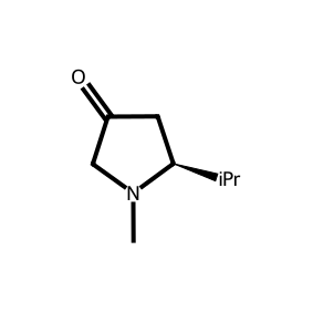 CC(C)[C@@H]1CC(=O)CN1C